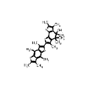 Cc1sc2c(c1C)C(C)(C)C(C)(C)c1c-2sc(-c2sc3c(C)c4c(C)c(C)sc4c(C)c3c2C)c1C